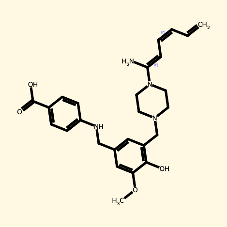 C=C/C=C\C=C(/N)N1CCN(Cc2cc(CNc3ccc(C(=O)O)cc3)cc(OC)c2O)CC1